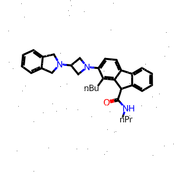 CCCCc1c(N2CC(N3Cc4ccccc4C3)C2)ccc2c1C(C(=O)NCCC)c1ccccc1-2